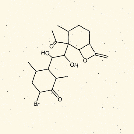 C=C1OC2C1CCC(C)C2(C(C)=O)C(O)C(O)C1C(C)CC(Br)C(=O)C1C